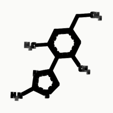 CCc1cc(C)c(-c2csc(N)n2)c(C)c1